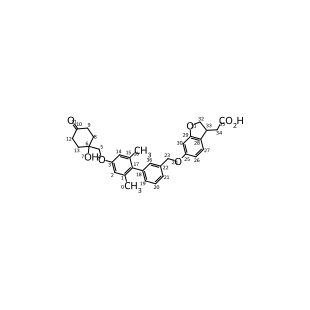 Cc1cc(OCC2(O)CCC(=O)CC2)cc(C)c1-c1cccc(COc2ccc3c(c2)OCC3CC(=O)O)c1